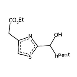 CCCCCC(O)c1nc(CC(=O)OCC)cs1